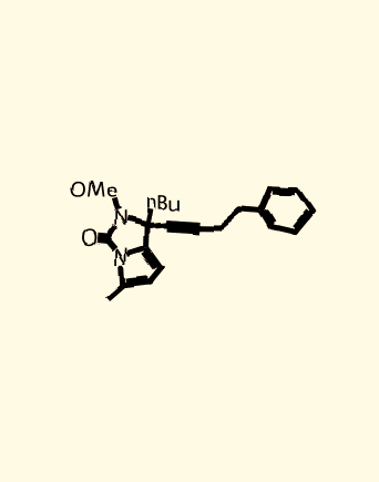 CCCCC1(C#CCCc2ccccc2)c2ccc(C)n2C(=O)N1OC